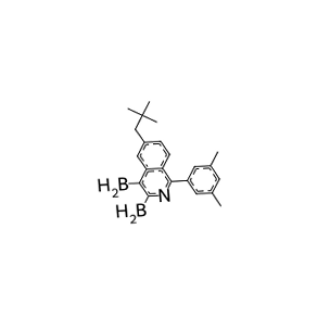 Bc1nc(-c2cc(C)cc(C)c2)c2ccc(CC(C)(C)C)cc2c1B